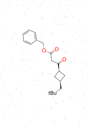 CC(C)(C)C[C@H]1C[C@@H](C(=O)CC(=O)OCc2ccccc2)C1